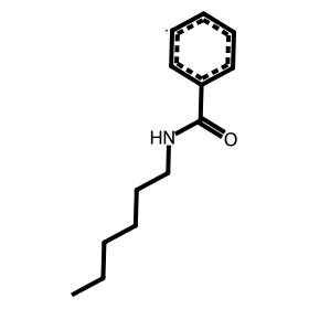 CCCCCCNC(=O)c1c[c]ccc1